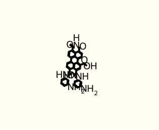 N=C(Nc1cccc(N)c1)c1cc(C(=O)O)c2c3ccc4c5c(ccc(c6ccc(C(=O)Nc7cccc(N)c7)c1c62)c53)C(=O)NC4=O